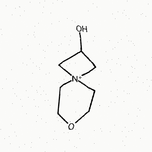 OC1C[N+]2(CCOCC2)C1